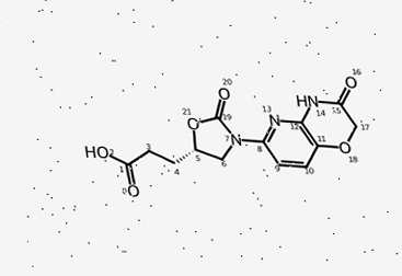 O=C(O)CC[C@H]1CN(c2ccc3c(n2)NC(=O)CO3)C(=O)O1